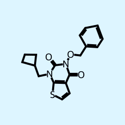 O=c1c2ccsc2n(CC2CCC2)c(=O)n1OCc1ccccc1